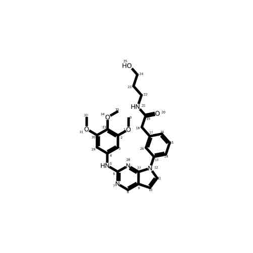 COc1cc(Nc2ncc3ccn(-c4cccc(CC(=O)NCCCO)c4)c3n2)cc(OC)c1OC